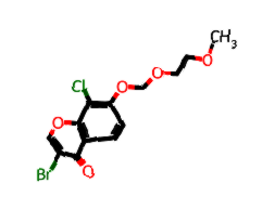 COCCOCOc1ccc2c(=O)c(Br)coc2c1Cl